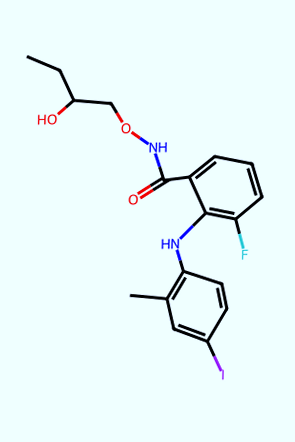 CCC(O)CONC(=O)c1cccc(F)c1Nc1ccc(I)cc1C